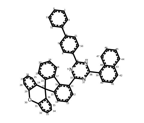 c1ccc(-c2ccc(-c3nc(-c4cccc5c4-c4ccccc4C54c5ccccc5Oc5ccccc54)nc(-c4cccc5ccccc45)n3)cc2)cc1